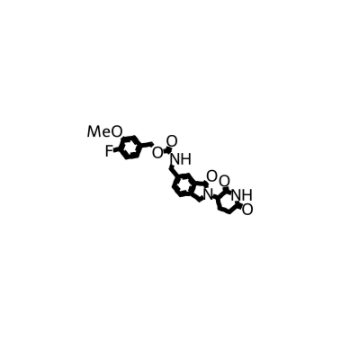 COc1cc(COC(=O)NCc2ccc3c(c2)C(=O)N(C2CCC(=O)NC2=O)C3)ccc1F